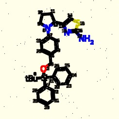 CC(C)(C)[Si](OCc1ccc(N2CCCC2c2csc(N)n2)cc1)(c1ccccc1)c1ccccc1